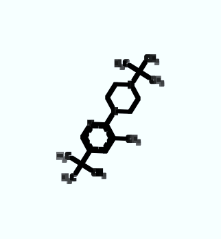 Cc1cc(C(C)(C)C)cnc1N1CCN(C(C)(C)C)CC1